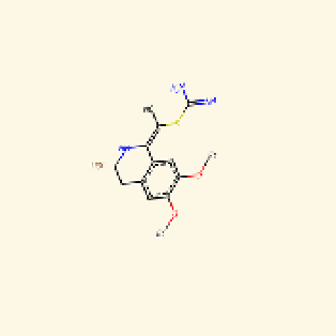 Br.CCOc1cc2c(cc1OCC)C(=C(C#N)SC(=N)N)NCC2